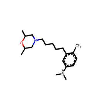 CC1CN(CCCCCc2cc([SiH](C)C)ccc2C(F)(F)F)CC(C)O1